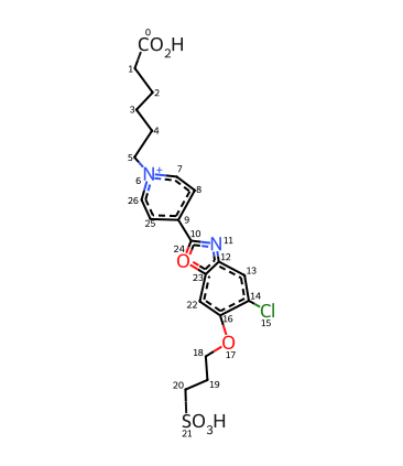 O=C(O)CCCCC[n+]1ccc(-c2nc3cc(Cl)c(OCCCS(=O)(=O)O)cc3o2)cc1